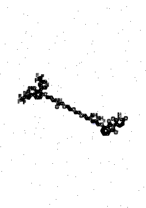 Cn1nc(C(F)(F)F)cc1-c1ccc(OCCCNC(=O)COCCOCCOCCN(N)/C=C(\N)COc2cccc3c2C(=O)N(C2CCC(=O)NC2=O)C3=O)c(-c2cncc(C(F)(F)F)c2)c1O